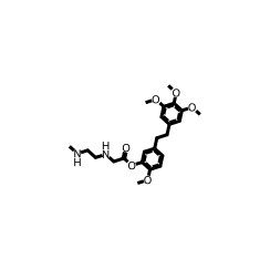 CNCCNCC(=O)Oc1cc(CCc2cc(OC)c(OC)c(OC)c2)ccc1OC